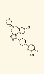 N#Cc1nc(N2CCC(c3nnc4n3-c3ccc(Cl)cc3CN([C@H]3CCOC3)C4)CC2)ccc1F